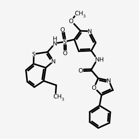 CCc1cccc2sc(NS(=O)(=O)c3cc(NC(=O)c4ncc(-c5ccccc5)o4)cnc3OC)nc12